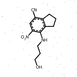 N#Cc1cc([N+](=O)[O-])c(NCCCO)c2c1CCC2